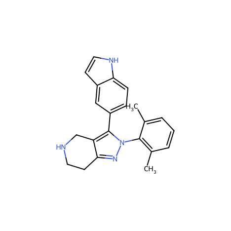 Cc1cccc(C)c1-n1nc2c(c1-c1ccc3[nH]ccc3c1)CNCC2